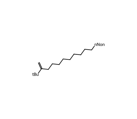 C=C(CCCCCCCCCCCCCCCCCC)C(C)(C)C